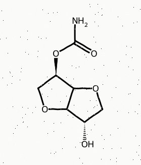 NC(=O)O[C@@H]1COC2C1OC[C@@H]2O